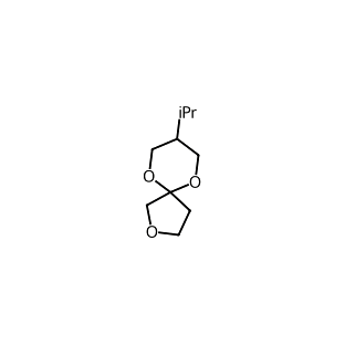 CC(C)C1COC2(CCOC2)OC1